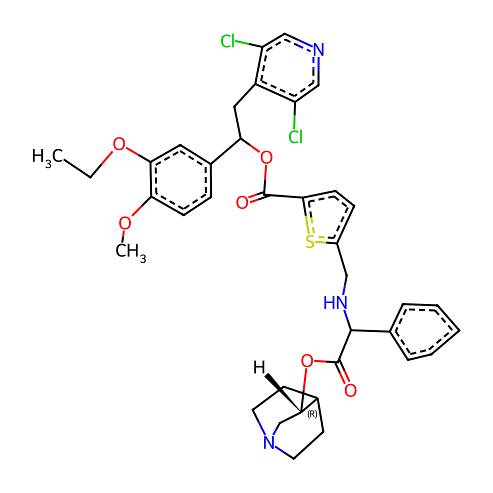 CCOc1cc(C(Cc2c(Cl)cncc2Cl)OC(=O)c2ccc(CNC(C(=O)O[C@H]3CN4CCC3CC4)c3ccccc3)s2)ccc1OC